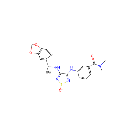 CN(C)C(=O)c1cccc(Nc2n[s+]([O-])nc2NC(c2ccc3c(c2)OCO3)C(C)(C)C)c1